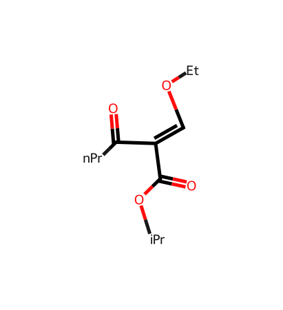 CCCC(=O)/C(=C\OCC)C(=O)OC(C)C